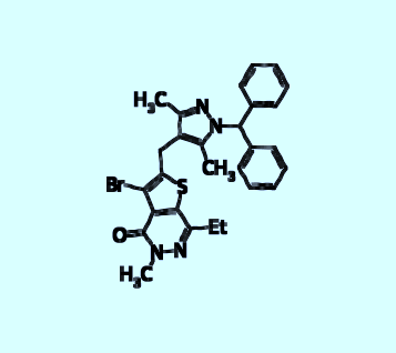 CCc1nn(C)c(=O)c2c(Br)c(Cc3c(C)nn(C(c4ccccc4)c4ccccc4)c3C)sc12